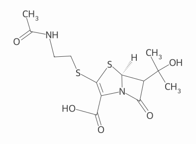 CC(=O)NCCSC1=C(C(=O)O)N2C(=O)C(C(C)(C)O)[C@@H]2S1